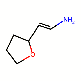 NC=CC1CCCO1